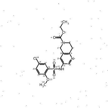 CCOC(=O)N1CCc2ncc(NS(=O)(=O)c3cc(Cl)ccc3OC)cc2C1